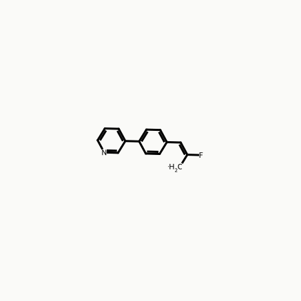 [CH2]/C(F)=C\c1ccc(-c2cccnc2)cc1